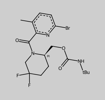 Cc1ccc(Br)nc1C(=O)N1CC(F)(F)CC[C@@H]1COC(=O)NC(C)(C)C